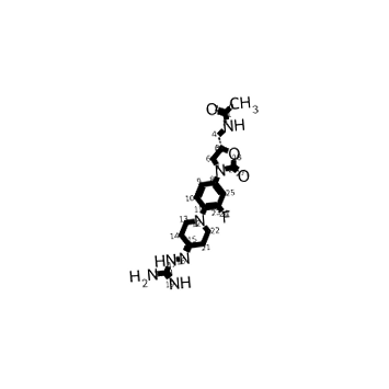 CC(=O)NC[C@H]1CN(c2ccc(N3CCC(=NNC(=N)N)CC3)c(F)c2)C(=O)O1